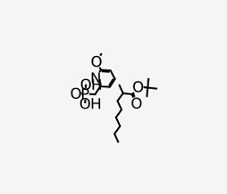 CCCCCCC(C)C(=O)OC(C)(C)C.COc1cccc(CP(=O)(O)O)n1